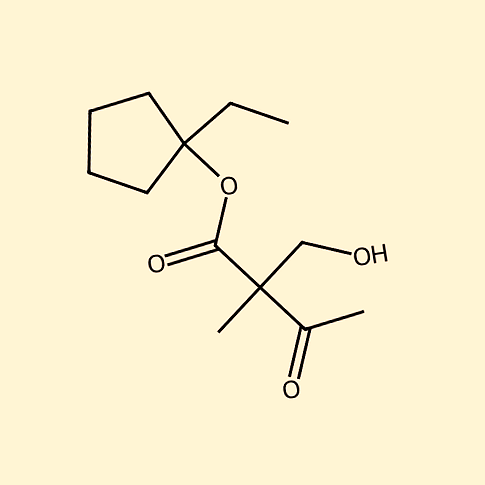 CCC1(OC(=O)C(C)(CO)C(C)=O)CCCC1